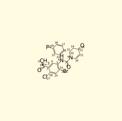 C[S@+]([O-])c1cc(NC(=O)N2C=CC(=O)C[C@H]2c2ccc(F)cc2)c(Br)cc1Cl